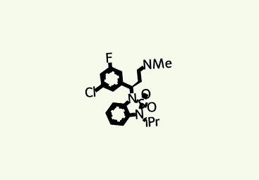 CNCC[C@H](c1cc(F)cc(Cl)c1)N1c2ccccc2N(C(C)C)S1(=O)=O